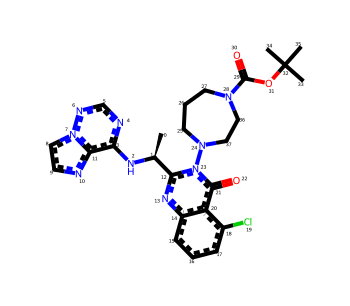 C[C@H](Nc1ncnn2ccnc12)c1nc2cccc(Cl)c2c(=O)n1N1CCCN(C(=O)OC(C)(C)C)CC1